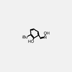 CCC(C)c1cccc(/C=N\O)c1O